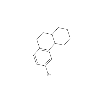 CCc1ccc2c(c1)C1CCCCC1CC2